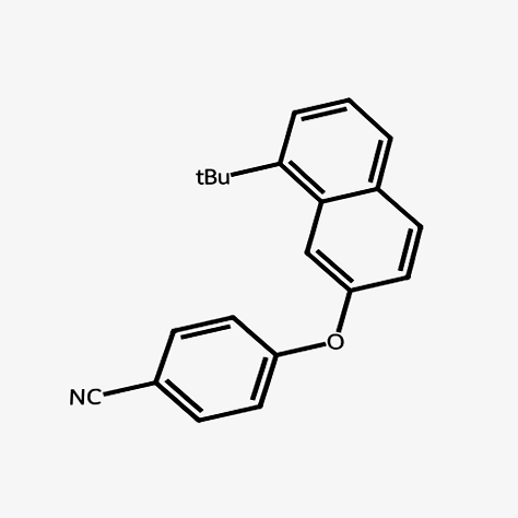 CC(C)(C)c1cccc2ccc(Oc3ccc(C#N)cc3)cc12